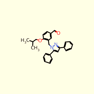 CC(C)COc1ccc(C=O)cc1Cn1nc(-c2ccccc2)cc1-c1ccccc1